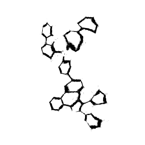 c1ccc(-c2ccc(N(c3ccc(-c4ccc5c(c4)c4ccccc4c4oc(-c6ccccc6)c(-c6ccccc6)c54)cc3)c3cccc4c3oc3ccccc34)cc2)cc1